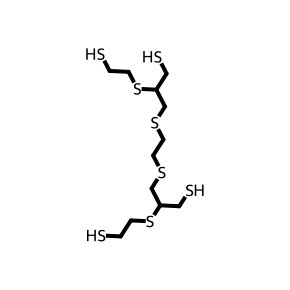 SCCSC(CS)CSCCSCC(CS)SCCS